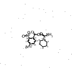 NC(=O)N1CCCCC1.O=C(O)c1ccc(Br)cc1[N+](=O)[O-]